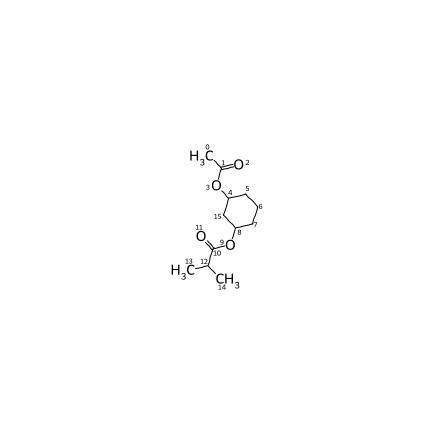 CC(=O)OC1CCCC(OC(=O)C(C)C)C1